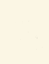 CC(O)COC(=O)COc1ccc(Cl)c2cccnc12